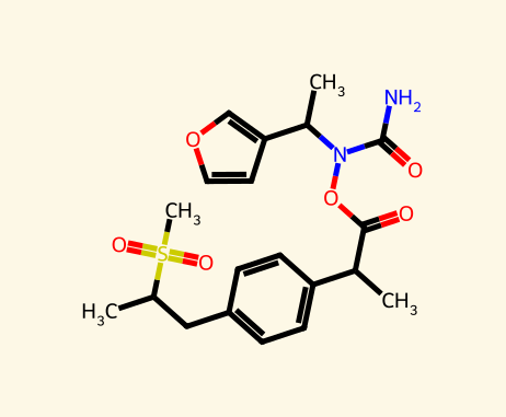 CC(C(=O)ON(C(N)=O)C(C)c1ccoc1)c1ccc(CC(C)S(C)(=O)=O)cc1